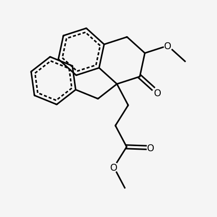 COC(=O)CCC1(Cc2ccccc2)C(=O)C(OC)Cc2ccccc21